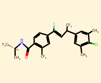 Cc1cc(C(/C=C(\F)c2ccc(C(=O)N[C@H](C)C(F)(F)F)c(C(F)(F)F)c2)C(F)(F)F)cc(C)c1Cl